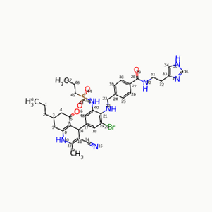 CCCC1CC(=O)C2=C(C1)NC(C)=C(C#N)C2c1cc(Br)c(NCc2ccc(C(=O)NCCc3c[nH]cn3)cc2)c(NS(=O)(=O)CCC)c1